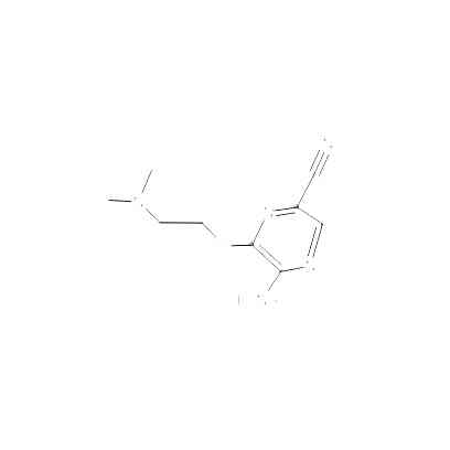 CN(C)CCOc1nc(C#N)cnc1N